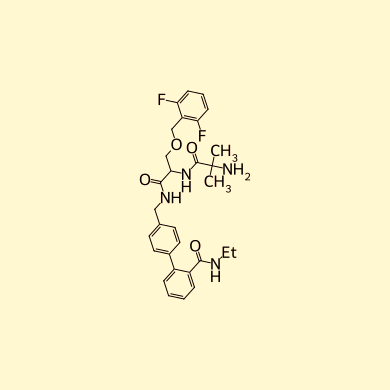 CCNC(=O)c1ccccc1-c1ccc(CNC(=O)C(COCc2c(F)cccc2F)NC(=O)C(C)(C)N)cc1